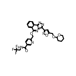 O=C(NCC(F)(F)F)c1ccc(COc2nn3c(-c4cc(COC5CCCCO5)on4)nnc3c3ccccc23)nc1